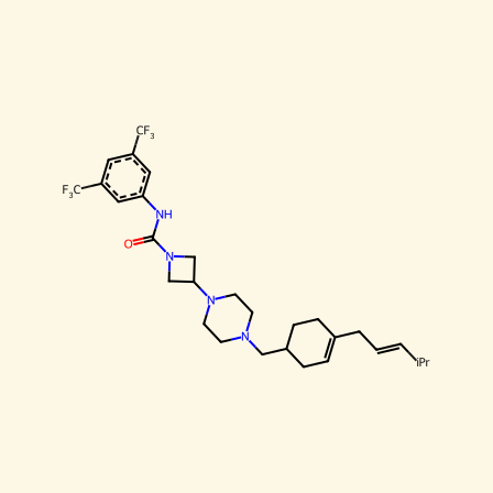 CC(C)C=CCC1=CCC(CN2CCN(C3CN(C(=O)Nc4cc(C(F)(F)F)cc(C(F)(F)F)c4)C3)CC2)CC1